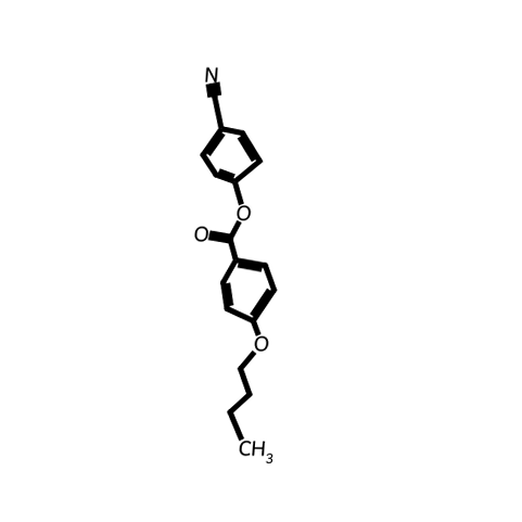 CCCCOc1ccc(C(=O)Oc2ccc(C#N)cc2)cc1